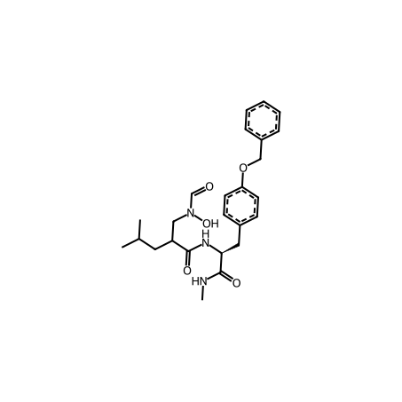 CNC(=O)[C@H](Cc1ccc(OCc2ccccc2)cc1)NC(=O)C(CC(C)C)CN(O)C=O